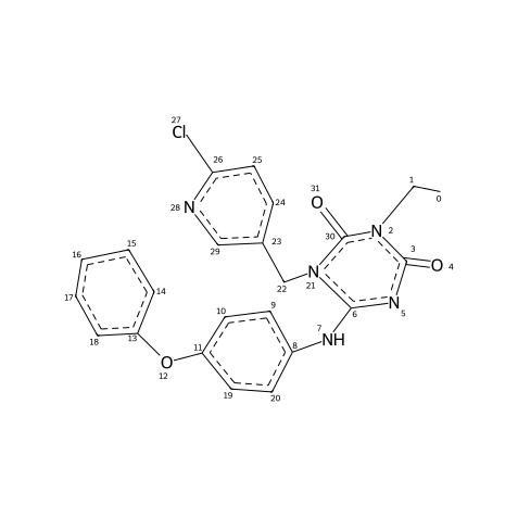 CCn1c(=O)nc(Nc2ccc(Oc3ccccc3)cc2)n(Cc2ccc(Cl)nc2)c1=O